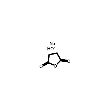 O=C1CCC(=O)O1.[Na+].[OH-]